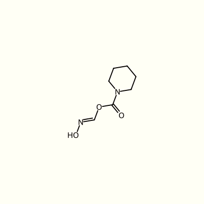 O=C(OC=NO)N1CCCCC1